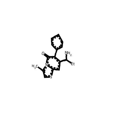 CCC(N)c1cc2scc(C)n2c(=O)c1-c1ccccc1